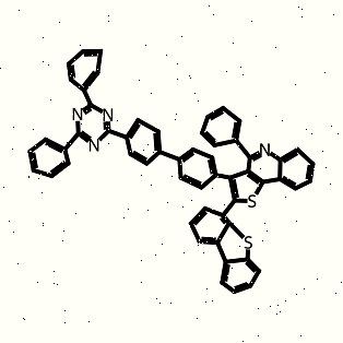 c1ccc(-c2nc(-c3ccccc3)nc(-c3ccc(-c4ccc(-c5c(-c6cccc7c6sc6ccccc67)sc6c5c(-c5ccccc5)nc5ccccc56)cc4)cc3)n2)cc1